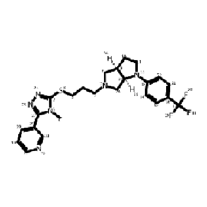 Cn1c(SCCCN2C[C@H]3CCN(c4ccc(C(F)(F)F)cc4)[C@H]3C2)nnc1-c1cccnc1